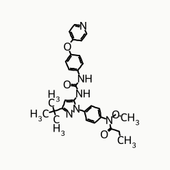 CCC(=O)N(OC)c1ccc(-n2nc(C(C)(C)C)cc2NC(=O)Nc2ccc(Oc3ccncc3)cc2)cc1